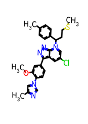 COc1cc(-c2nnc3n(C(CCSC)c4ccc(C)cc4)cc(Cl)cc2-3)ccc1-n1cnc(C)c1